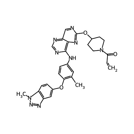 C=CC(=O)N1CCC(Oc2ncc3ncnc(Nc4ccc(Oc5ccc6c(c5)nnn6C)c(C)c4)c3n2)CC1